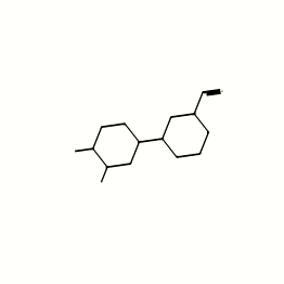 CC1CCC(C2CCCC(C=O)C2)CC1C